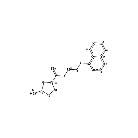 O=C(COCCc1cccc2ccccc12)N1CCC(O)C1